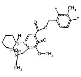 COc1c2n(cc(C(=O)OCc3ccc(F)c(C)c3F)c1=O)[C@H]1CCCC[C@]13OC[C@@H](C)N3C2